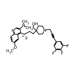 COc1ccc2ncc(N(C)C)c([C@@H](F)CCC3(CO)CCN(CC#Cc4cc(F)c(F)c(F)c4)CC3)c2c1